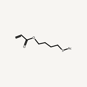 C=CC(=O)OCCCCSC(C)=O